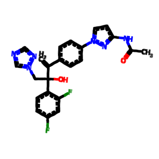 C=C(c1ccc(-n2ccc(NC(C)=O)n2)cc1)C(O)(Cn1cncn1)c1ccc(F)cc1F